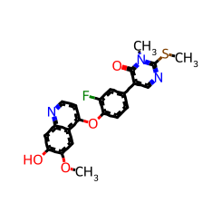 COc1cc2c(Oc3ccc(-c4cnc(SC)n(C)c4=O)cc3F)ccnc2cc1O